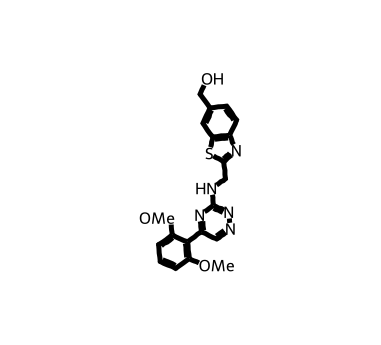 COc1cccc(OC)c1-c1cnnc(NCc2nc3ccc(CO)cc3s2)n1